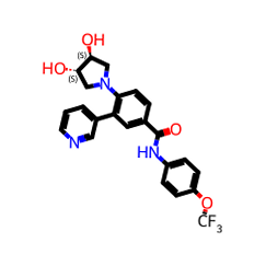 O=C(Nc1ccc(OC(F)(F)F)cc1)c1ccc(N2C[C@H](O)[C@@H](O)C2)c(-c2cccnc2)c1